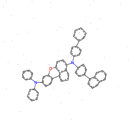 c1ccc(-c2ccc(N(c3ccc(-c4cccc5ccccc45)cc3)c3ccc4c5c(cccc35)-c3ccc(N(c5ccccc5)c5ccccc5)cc3O4)cc2)cc1